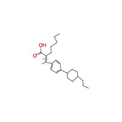 CCCCC/C(C(=O)O)=C(/C)c1ccc(C2CCC(CCC)CC2)cc1